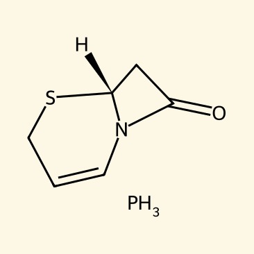 O=C1C[C@H]2SCC=CN12.P